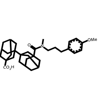 COc1ccc(CCCN(C)C(=O)C23CC4CC(C2)CC(C25CC6CC(CC(C(=O)O)(C6)C2)C5)(C4)C3)cc1